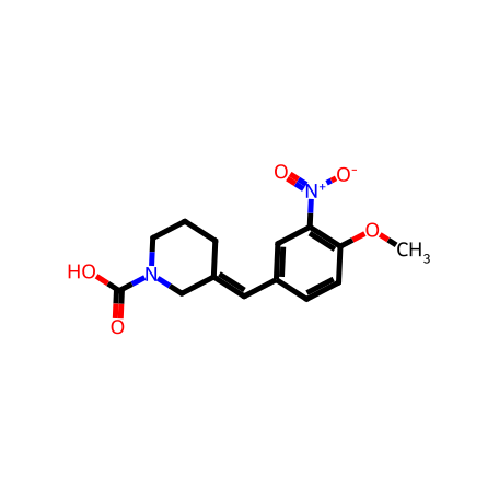 COc1ccc(/C=C2\CCCN(C(=O)O)C2)cc1[N+](=O)[O-]